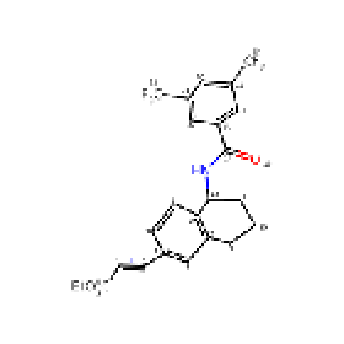 CCOC(=O)/C=C/c1ccc2c(c1)CCCC2NC(=O)c1cc(C(F)(F)F)cc(C(F)(F)F)c1